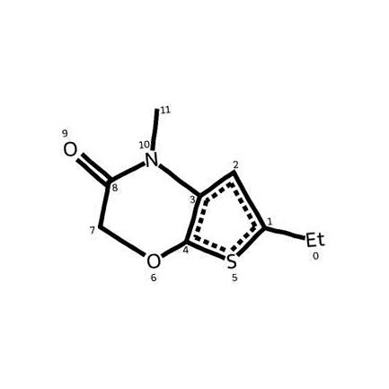 CCc1cc2c(s1)OCC(=O)N2C